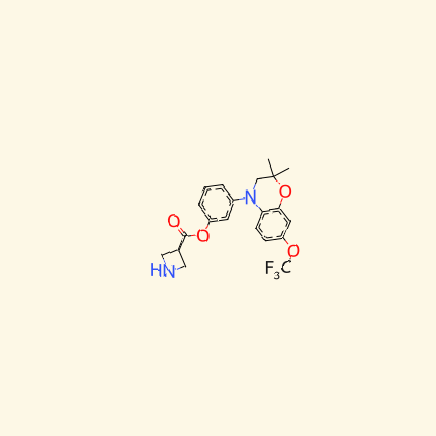 CC1(C)CN(c2cccc(OC(=O)C3CNC3)c2)c2ccc(OC(F)(F)F)cc2O1